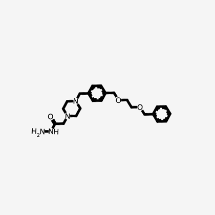 NNC(=O)CN1CCN(Cc2ccc(COCCOCc3ccccc3)cc2)CC1